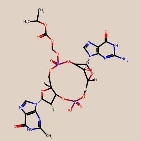 Cc1nc2c(ncn2[C@@H]2O[C@@H]3COP(=O)(OCOC(=O)OC(C)C)OC4[C@@H](O)[C@@H](COP(=O)(O)OC3[C@@H]2F)O[C@H]4n2cnc3c(=O)[nH]c(N)nc32)c(=O)[nH]1